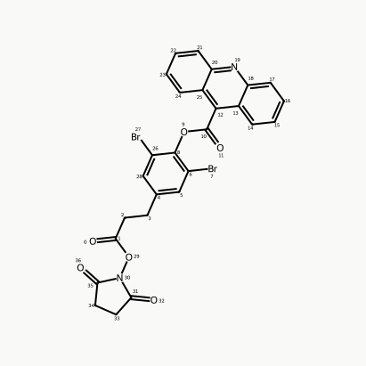 O=C(CCc1cc(Br)c(OC(=O)c2c3ccccc3nc3ccccc23)c(Br)c1)ON1C(=O)CCC1=O